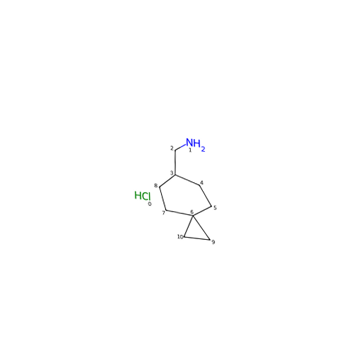 Cl.NCC1CCC2(CC1)CC2